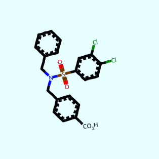 O=C(O)c1ccc(CN(Cc2ccccc2)S(=O)(=O)c2ccc(Cl)c(Cl)c2)cc1